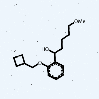 COCCCCC(O)c1ccccc1OCC1CCC1